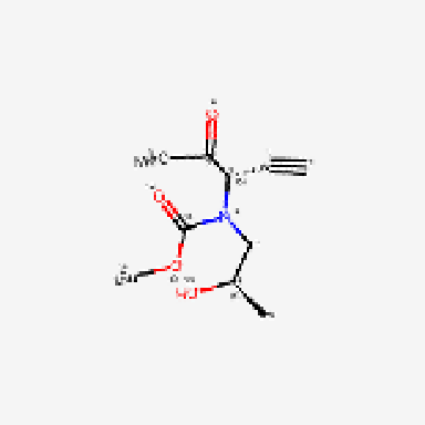 C#C[C@@H](C(=O)OC)N(C[C@@H](C)O)C(=O)OC(C)(C)C